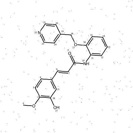 COc1ccc(C=CC(=O)Nc2ccccc2OCc2ccncc2)cc1O